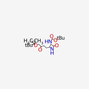 CC(C)(C)OC(=O)NC1C(=O)NC1CCC(=O)CO[Si](C)(C)C(C)(C)C